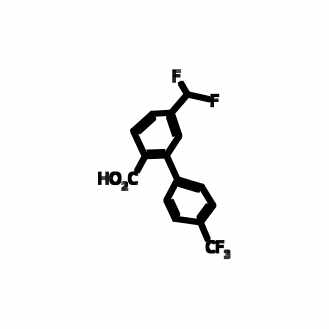 O=C(O)c1ccc(C(F)F)cc1-c1ccc(C(F)(F)F)cc1